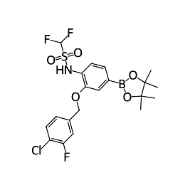 CC1(C)OB(c2ccc(NS(=O)(=O)C(F)F)c(OCc3ccc(Cl)c(F)c3)c2)OC1(C)C